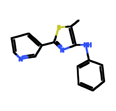 Cc1sc(-c2cccnc2)nc1Nc1ccccc1